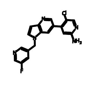 Nc1cc(-c2cnc3ccn(Cc4cncc(F)c4)c3c2)c(Cl)cn1